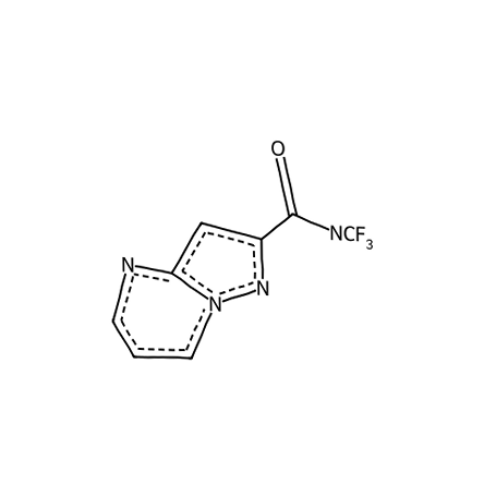 O=C(NC(F)(F)F)c1cc2ncccn2n1